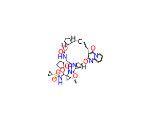 C=C[C@@H]1C[C@]1(NC(=O)[C@@H]1C[C@@H]2CN1C(=O)[C@H](C1CCCC1)NC(=O)O[C@@H]1CCC[C@H]1CCC=CCc1c(nc3ccccn3c1=O)O2)C(=O)NS(=O)(=O)C1CC1